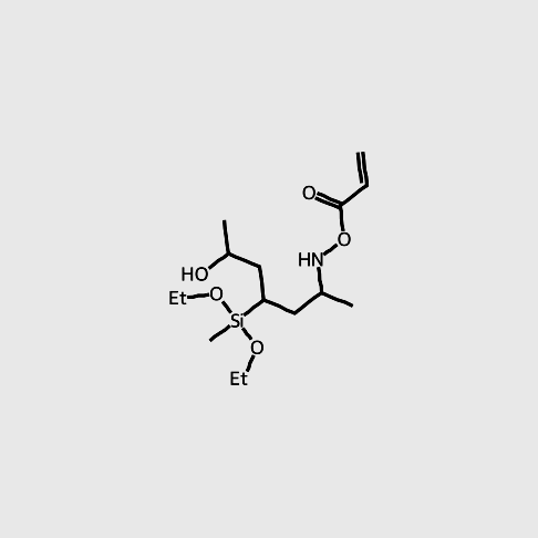 C=CC(=O)ONC(C)CC(CC(C)O)[Si](C)(OCC)OCC